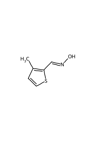 Cc1ccsc1/C=N/O